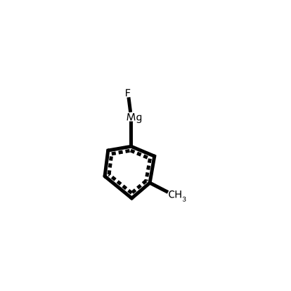 Cc1ccc[c]([Mg][F])c1